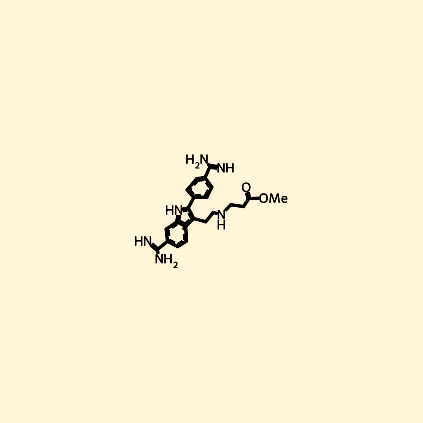 COC(=O)CCNCCc1c(-c2ccc(C(=N)N)cc2)[nH]c2cc(C(=N)N)ccc12